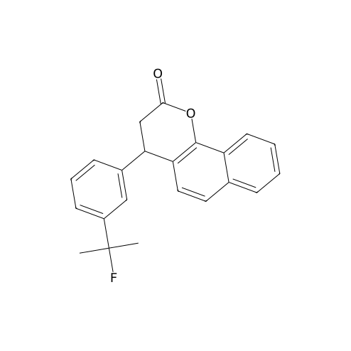 CC(C)(F)c1cccc(C2CC(=O)Oc3c2ccc2ccccc32)c1